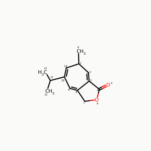 CC1C=C2C(=O)OCC2=CC(C(C)C)=C1